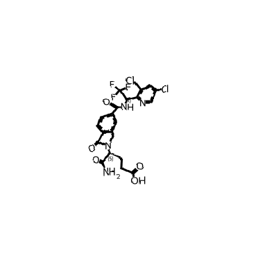 NC(=O)[C@H](CCC(=O)O)N1Cc2cc(C(=O)N[C@H](c3ncc(Cl)cc3Cl)C(F)(F)F)ccc2C1=O